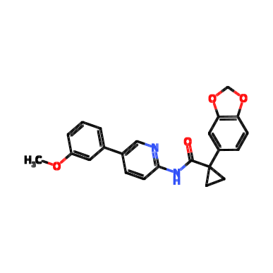 COc1cccc(-c2ccc(NC(=O)C3(c4ccc5c(c4)OCO5)CC3)nc2)c1